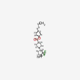 C=CCCc1ccc(OC(=O)C2CCC(C3CCC(CCC)C(F)(F)C3)CC2)cc1